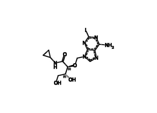 Nc1nc(I)nc2c1ncn2CO[C@H](C(=O)NC1CC1)[C@H](O)CO